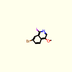 COc1cnc(I)c2cc(Br)ccc12